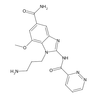 COc1cc(C(N)=O)cc2nc(NC(=O)c3cccnn3)n(CCCN)c12